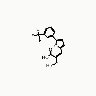 CCC(=Cc1ccc(-c2cccc(C(F)(F)F)c2)o1)C(=O)O